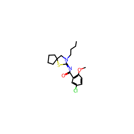 CCCCN1CC2(CCCC2)SC1=NC(=O)c1cc(Cl)ccc1OC